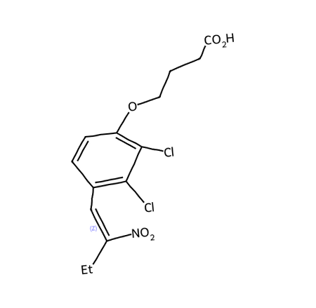 CC/C(=C/c1ccc(OCCCC(=O)O)c(Cl)c1Cl)[N+](=O)[O-]